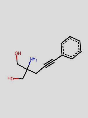 NC(CO)(CO)CC#Cc1ccccc1